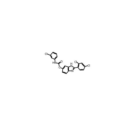 O=C(Nc1cccc(Cl)c1)Oc1ccc2nc(-c3ccc(Cl)cc3Cl)[nH]c2c1